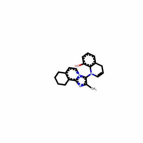 Cc1nc2c3c(ccn2c1N1C=CCc2cccc(O)c21)CCCC3